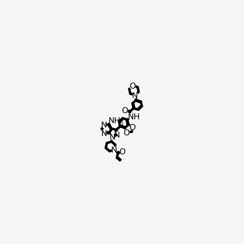 C=CC(=O)N1CCC[C@@H](n2nc(-c3ccc(NC(=O)c4cccc(N5CCOCC5)c4)c4c3OCO4)c3c(N)ncnc32)C1